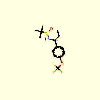 CC[C@H](N[S+]([O-])C(C)(C)C)c1ccc(OC(F)(F)F)cc1